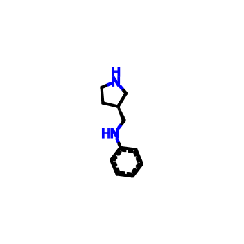 c1ccc(NC[C@H]2CCNC2)cc1